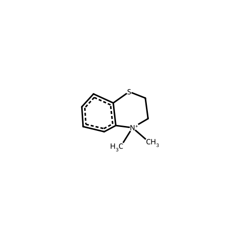 C[N+]1(C)CCSc2ccccc21